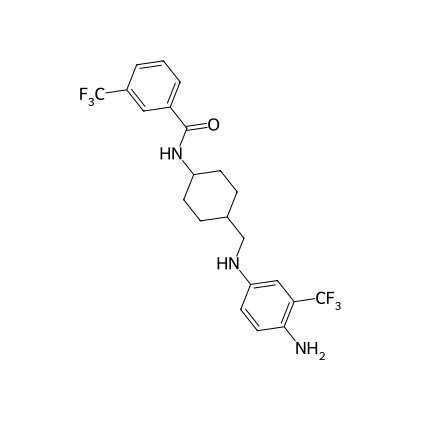 Nc1ccc(NCC2CCC(NC(=O)c3cccc(C(F)(F)F)c3)CC2)cc1C(F)(F)F